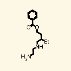 CCC(CCOC(=O)c1ccccc1)CNCCN